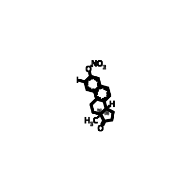 C[C@]12CCc3c(ccc4cc(O[N+](=O)[O-])c(I)cc34)[C@@H]1CCC2=O